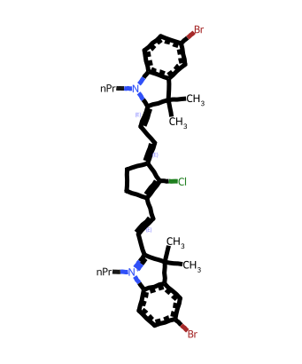 CCCN1/C(=C/C=C2\CCC(/C=C/C3=[N+](CCC)c4ccc(Br)cc4C3(C)C)=C2Cl)C(C)(C)c2cc(Br)ccc21